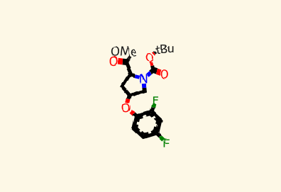 COC(=O)C1CC(Oc2ccc(F)cc2F)CN1C(=O)OC(C)(C)C